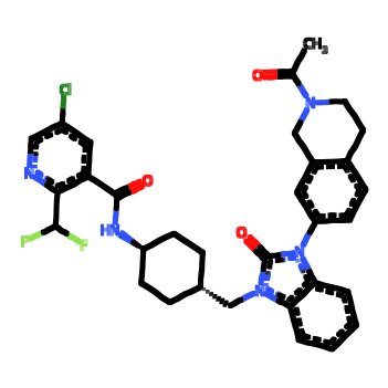 CC(=O)N1CCc2ccc(-n3c(=O)n(C[C@H]4CC[C@H](NC(=O)c5cc(Cl)cnc5C(F)F)CC4)c4ccccc43)cc2C1